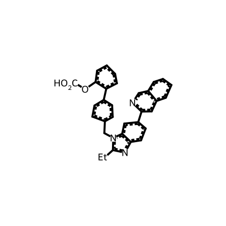 CCc1nc2ccc(-c3cc4ccccc4cn3)cc2n1Cc1ccc(-c2ccccc2OC(=O)O)cc1